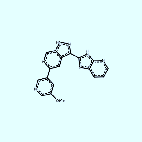 COc1cncc(-c2cc3c(-c4nc5cccnc5[nH]4)n[nH]c3cn2)c1